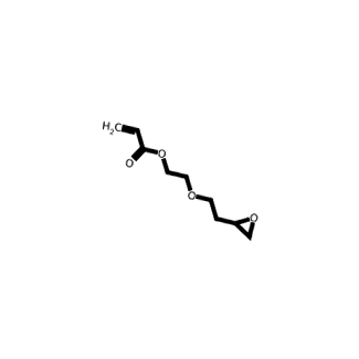 C=CC(=O)OCCOCCC1CO1